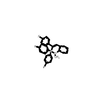 C[O+]1c2ccccc2C=C(c2ccc(F)cc2)[B-]1(c1ccc(F)cc1)c1ccc(F)cc1